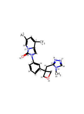 CC(=O)c1cc(C(F)(F)F)c2cn(-c3cccc(C4(Cc5nncn5C)COC4)c3)c(=O)n2c1